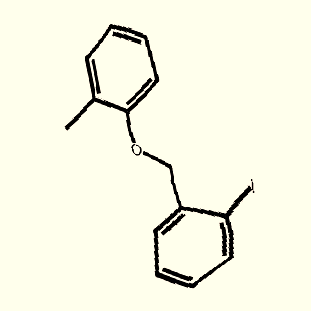 Cc1ccccc1OCc1ccccc1I